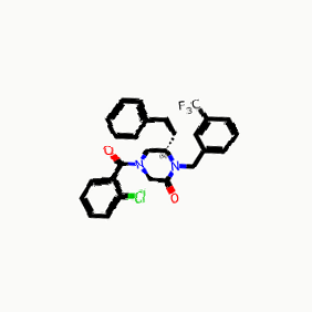 O=C(c1ccccc1Cl)N1CC(=O)N(Cc2cccc(C(F)(F)F)c2)[C@@H](CCc2ccccc2)C1